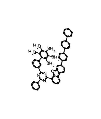 Bc1c(B)c(B)c(-c2cccc(-c3nc(-c4ccccc4)nc(-c4cccc5c4oc4cc(-c6ccc(-c7ccc(-c8ccccc8)cc7)cc6)ccc45)n3)c2)c(B)c1B